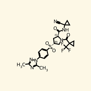 Cc1nc(C)n(-c2ccc(S(=O)(=O)[C@@H]3C[C@@H](C(=O)NC4(C#N)CC4)N(C(=O)C4(C(F)(F)F)CC4)C3)cc2)n1